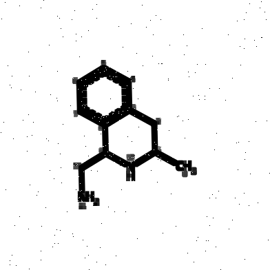 CC1Cc2ccccc2C(CN)N1